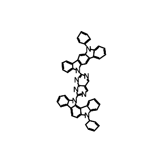 C1=CCC(n2c3ccccc3c3c4c(ccc32)c2ccccc2n4-c2ncc3cnc(-n4c5ccccc5c5cc6c(cc54)c4ccccc4n6-c4ccccc4)nc3n2)C=C1